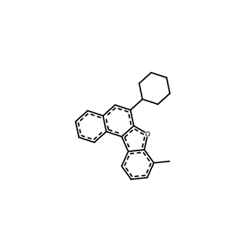 Cc1cccc2c1oc1c(C3CCCCC3)cc3ccccc3c12